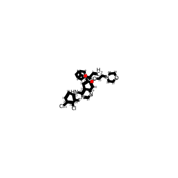 C=CC(=O)N1CC2CC(C1)C2Oc1cc2c(Nc3ccc(Cl)c(Cl)c3F)ncnc2cc1OCCN1CCOCC1